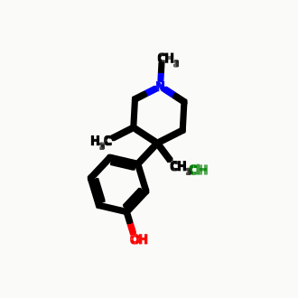 CC1CN(C)CCC1(C)c1cccc(O)c1.Cl